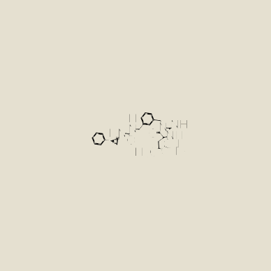 CC(C)CC1(C)NC(=N)N(Cc2cccc(CNC(=O)N[C@@H]3C[C@H]3c3ccccc3)c2)C1=O